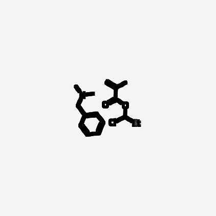 C=C(C)C(=O)OC(Cl)CC.CN(C)Cc1ccccc1